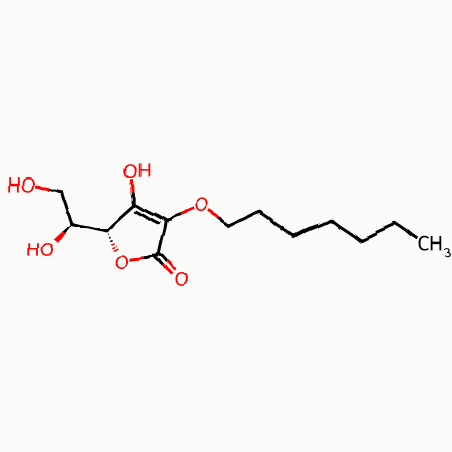 CCCCCCCOC1=C(O)[C@@H]([C@@H](O)CO)OC1=O